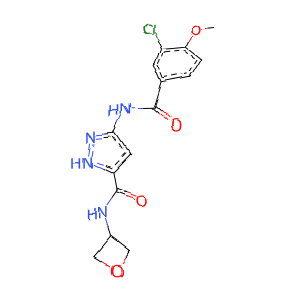 COc1ccc(C(=O)Nc2cc(C(=O)NC3COC3)[nH]n2)cc1Cl